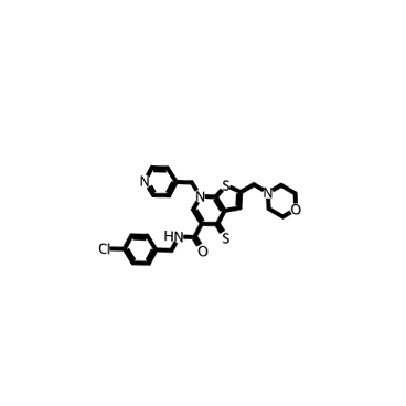 O=C(NCc1ccc(Cl)cc1)c1cn(Cc2ccncc2)c2sc(CN3CCOCC3)cc2c1=S